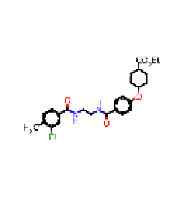 CCOC(=O)[C@H]1CC[C@@H](Oc2ccc(C(=O)NCCNC(=O)c3ccc(C)c(Cl)c3)cc2)CC1